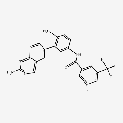 Cc1ccc(NC(=O)c2cc(F)cc(C(F)(F)F)c2)cc1-c1ccc2nc(N)ncc2c1